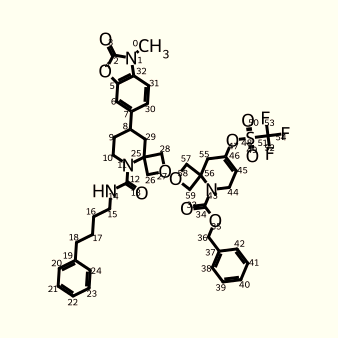 Cn1c(=O)oc2cc(C3CCN(C(=O)NCCCCc4ccccc4)C4(COC4)C3)ccc21.O=C(OCc1ccccc1)N1CC=C(OS(=O)(=O)C(F)(F)F)CC12COC2